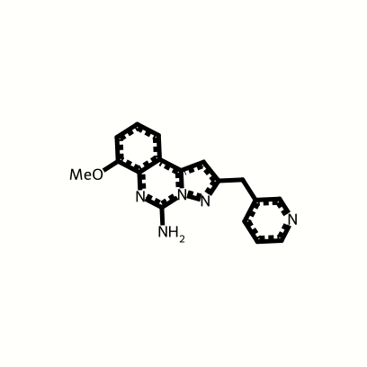 COc1cccc2c1nc(N)n1nc(Cc3cccnc3)cc21